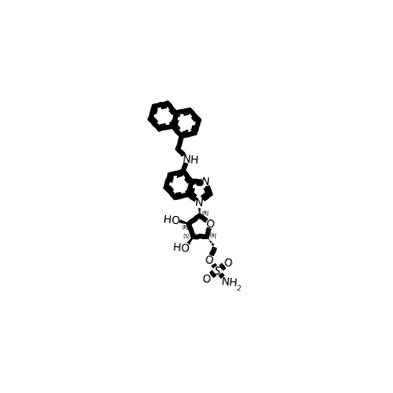 NS(=O)(=O)OC[C@H]1O[C@@H](n2cnc3c(NCc4cccc5ccccc45)cccc32)[C@H](O)[C@@H]1O